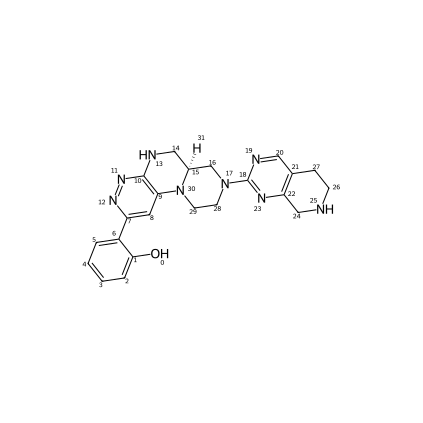 Oc1ccccc1-c1cc2c(nn1)NC[C@H]1CN(c3ncc4c(n3)CNCC4)CCN21